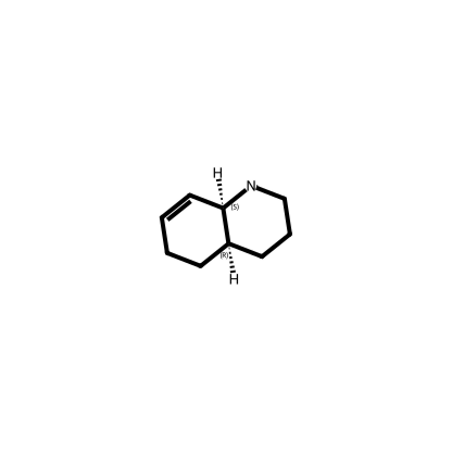 C1=C[C@H]2[N]CCC[C@H]2CC1